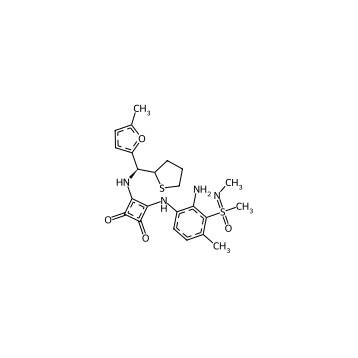 CN=S(C)(=O)c1c(C)ccc(Nc2c(N[C@@H](c3ccc(C)o3)C3CCCS3)c(=O)c2=O)c1N